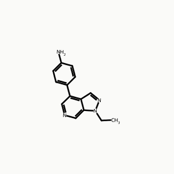 CCn1ncc2c(-c3ccc(N)cc3)cncc21